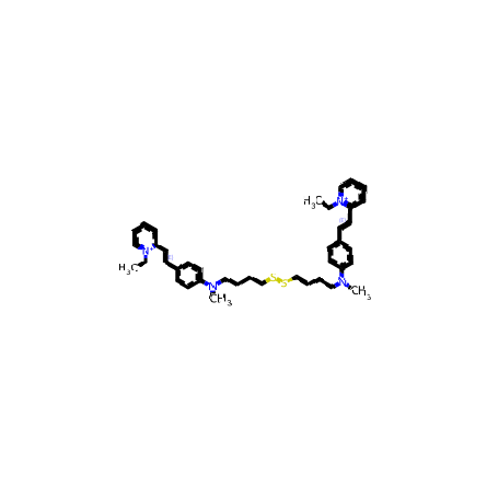 CC[n+]1ccccc1/C=C/c1ccc(N(C)CCCCSSCCCCN(C)c2ccc(/C=C/c3cccc[n+]3CC)cc2)cc1